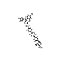 CCC(C)n1ncn(-c2ccc(N3CCN(c4ccc(NCC5COC(Cn6nccn6)(c6ccc(Cl)cc6Cl)O5)cc4)CC3)cc2)c1=O